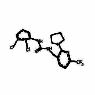 FC(F)(F)c1ccc(CNC(=S)Nc2cccc(Cl)c2Cl)c(N2CCCC2)n1